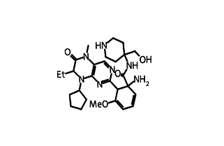 CCC1C(=O)N(C)c2cnc(C3C(OC)=CC=CC3(N)C(=O)NC3(CO)CCNCC3)nc2N1C1CCCC1